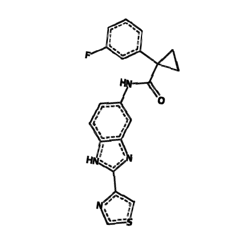 O=C(Nc1ccc2[nH]c(-c3cscn3)nc2c1)C1(c2cccc(F)c2)CC1